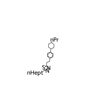 CCCCCCCc1nnc(CCc2ccc(C3CCC(CCC)CC3)cc2)s1